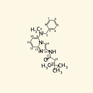 CN(Cc1ccccc1)c1cccc2nc(NC(=O)CC(C)(C)C)cn12